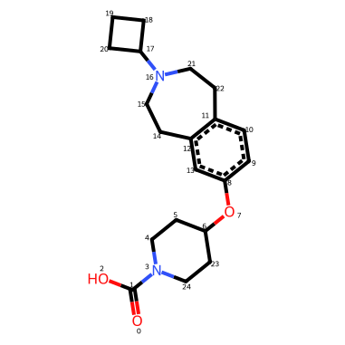 O=C(O)N1CCC(Oc2ccc3c(c2)CCN(C2CCC2)CC3)CC1